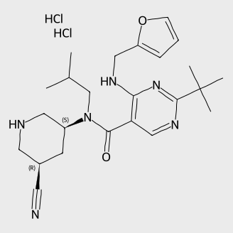 CC(C)CN(C(=O)c1cnc(C(C)(C)C)nc1NCc1ccco1)[C@@H]1CNC[C@H](C#N)C1.Cl.Cl